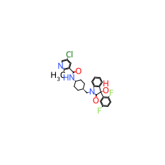 Cc1ncc(Cl)cc1C(=O)N[C@H]1CC[C@H](CN2C(=O)C(O)(c3cc(F)ccc3F)c3ccccc32)CC1